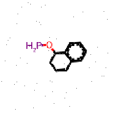 POC1CC=Cc2ccccc21